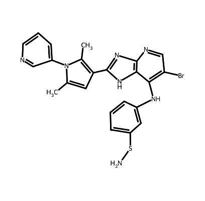 Cc1cc(-c2nc3ncc(Br)c(Nc4cccc(SN)c4)c3[nH]2)c(C)n1-c1cccnc1